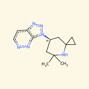 CC1(C)C[C@@H](n2nnc3ccnnc32)CC2(CC2)N1